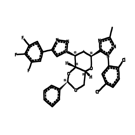 Cc1nc([C@@H]2[CH][C@H](n3cc(-c4cc(F)c(F)c(F)c4)nn3)[C@H]3O[C@@H](c4ccccc4)OC[C@H]3O2)n(-c2cc(Cl)ccc2Cl)n1